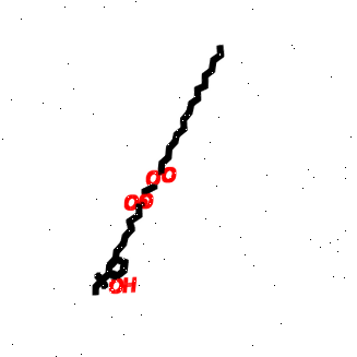 CCCCCCCCCCCCCCCCCC(=O)OCCOC(=O)CCCCCCc1ccc(O)c(C(C)(C)CC)c1